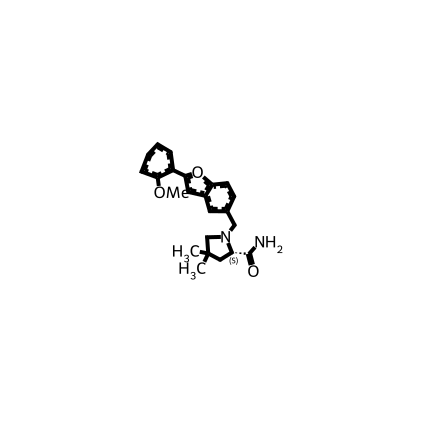 COc1ccccc1-c1cc2cc(CN3CC(C)(C)C[C@H]3C(N)=O)ccc2o1